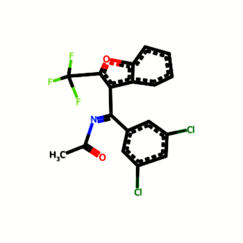 CC(=O)N=C(c1cc(Cl)cc(Cl)c1)c1c(C(F)(F)F)oc2ccccc12